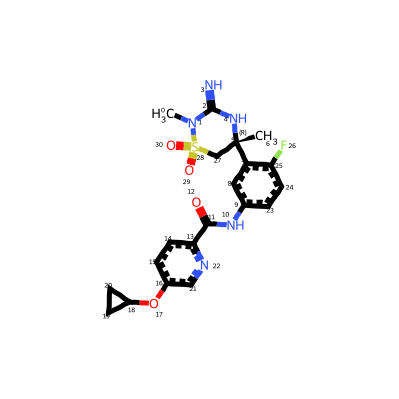 CN1C(=N)N[C@](C)(c2cc(NC(=O)c3ccc(OC4CC4)cn3)ccc2F)CS1(=O)=O